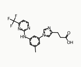 Cc1cc(Nc2nccc(C(F)(F)F)n2)cc(-n2cnc(CCC(=O)O)c2)c1